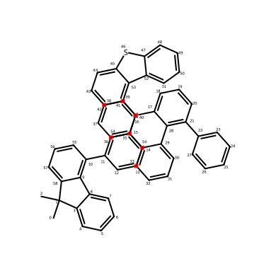 CC1(C)c2ccccc2-c2c(-c3cccc(N(c4cccc(-c5ccccc5)c4-c4ccccc4-c4ccccc4)c4cccc5sc6ccccc6c45)c3)cccc21